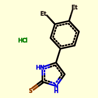 CCc1ccc(-c2c[nH]c(=S)[nH]2)cc1CC.Cl